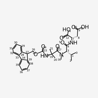 CC(C)[C@@H](C(=O)N[C@@H](CC(=O)O)C(=O)O)N(C)C(=O)C(C)(C)NC(=O)OCC1c2ccccc2-c2ccccc21